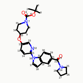 CC(C)(C)OC(=O)N1CCC(Oc2ccc(-n3ccc4cc(C(=O)N5CCCC5)ccc43)nc2)CC1